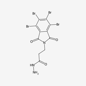 NNC(=O)CCN1C(=O)c2c(Br)c(Br)c(Br)c(Br)c2C1=O